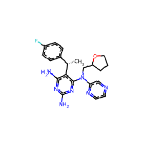 C[C@@H](c1ccc(F)cc1)c1c(N)nc(N)nc1N(CC1CCCO1)c1cnccn1